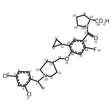 CC(c1ccc(Cl)cc1Cl)N1CCC(COc2cc(F)c(C(=O)N3CCC[C@H]3C(=O)O)cc2C2CC2)CC1